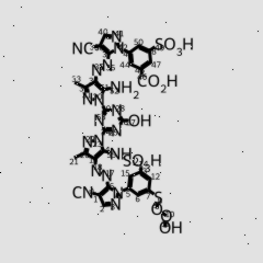 [C-]#[N+]c1cnn(-c2cc(SOOO)cc(S(=O)(=O)O)c2)c1N=Nc1c(C)nn(-c2nc(O)nc(-n3nc(C)c(N=Nc4c(C#N)cnn4-c4cc(C(=O)O)cc(S(=O)(=O)O)c4)c3N)n2)c1N